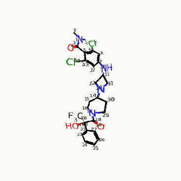 CN(C)C(=O)c1c(Cl)cc(NC2CN(C3CCN(C(=O)[C@](O)(c4ccccc4)C(F)(F)F)CC3)C2)cc1Cl